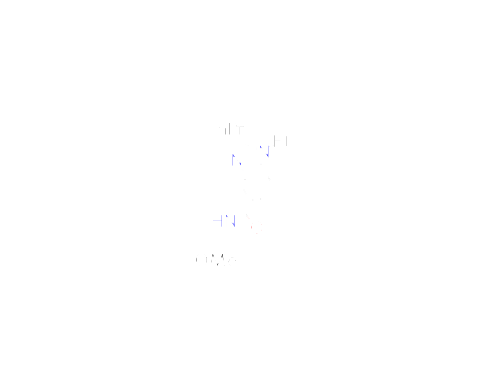 CCCc1nc2cc(C(=O)NCCOC)ccc2n1CC